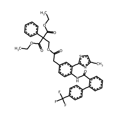 CCOC(=O)C(COC(=O)Cc1ccc(NC(=O)c2ccccc2-c2ccc(C(F)(F)F)cc2)c(-c2nc(C)cs2)c1)(C(=O)OCC)c1ccccc1